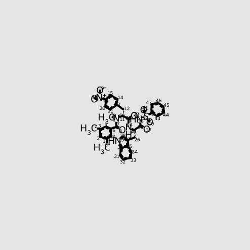 Cc1cc(C)cc(C(=O)N(C)[C@H](Cc2ccc([N+](=O)[O-])cc2)C(=O)N[C@@H](Cc2c[nH]c3ccccc23)C(=O)NS(=O)(=O)c2ccccc2)c1